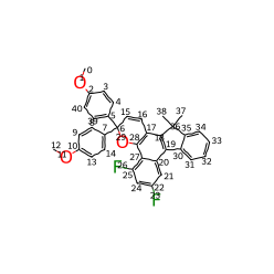 COc1ccc(C2(c3ccc(OC)cc3)C=Cc3c4c(c5cc(F)cc(F)c5c3O2)-c2ccccc2C4(C)C)cc1